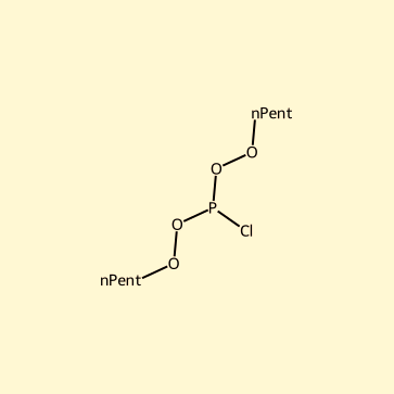 CCCCCOOP(Cl)OOCCCCC